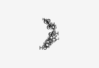 C=C(C)[C@@H]1CC[C@]2(C(=O)NCCc3cccc(C(=O)NCC(=O)OCC)c3)CC[C@]3(C)C(CCC4[C@@]5(C)CC[C@H](O)C(C)(C)C5CC[C@]43C)C12